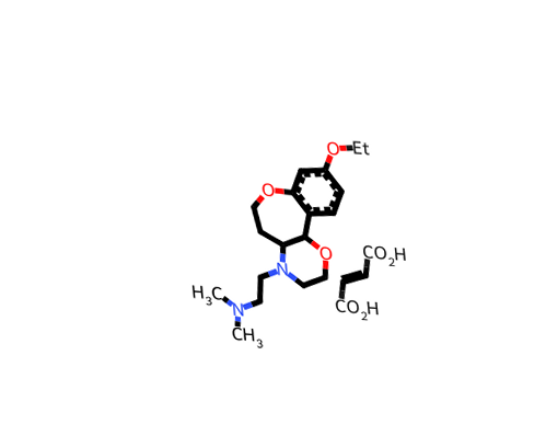 CCOc1ccc2c(c1)OCCC1C2OCCN1CCN(C)C.O=C(O)/C=C/C(=O)O